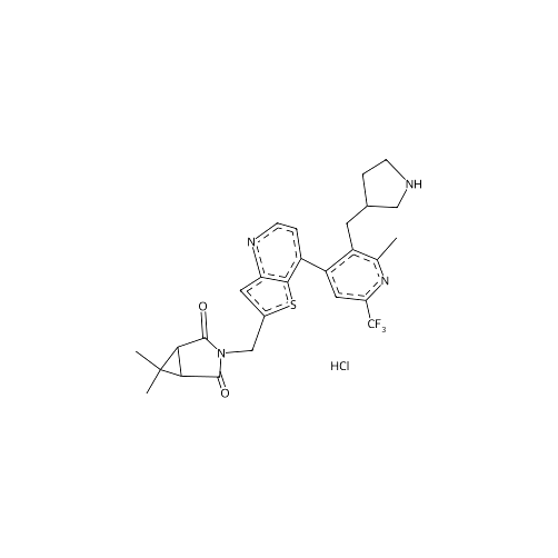 Cc1nc(C(F)(F)F)cc(-c2ccnc3cc(CN4C(=O)C5C(C4=O)C5(C)C)sc23)c1CC1CCNC1.Cl